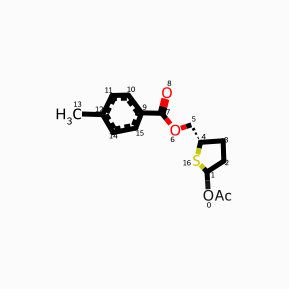 CC(=O)OC1CC[C@@H](COC(=O)c2ccc(C)cc2)S1